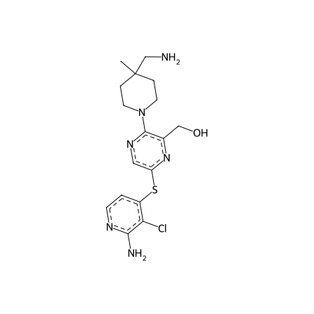 CC1(CN)CCN(c2ncc(Sc3ccnc(N)c3Cl)nc2CO)CC1